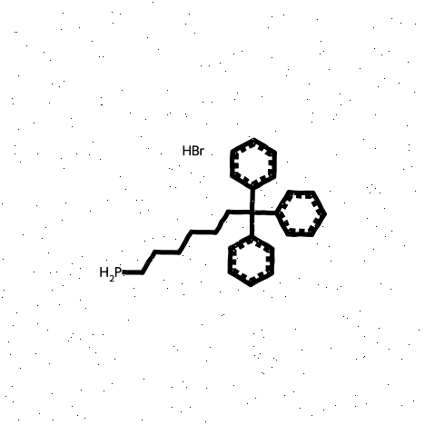 Br.PCCCCCCC(c1ccccc1)(c1ccccc1)c1ccccc1